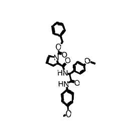 COc1ccc(NC(=O)C(NC(=O)C2CCCN2C(=O)OCc2ccccc2)c2ccc(OC)cc2)cc1